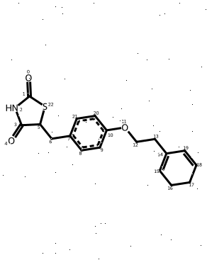 O=C1NC(=O)C(Cc2ccc(OCCC3=CCCC=C3)cc2)S1